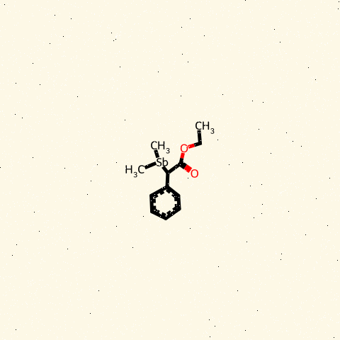 CCOC(=O)[CH](c1ccccc1)[Sb]([CH3])[CH3]